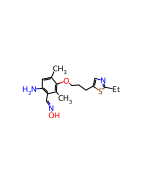 CCc1ncc(CCCOc2c(C)cc(N)c(C=NO)c2C)s1